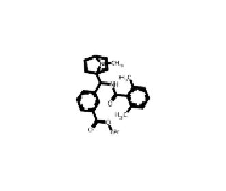 CCCOC(=O)c1cccc(C(NC(=O)c2c(C)cccc2C)C23CCC(CC2)N3C)c1